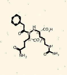 NC(=O)CC[C@@H](C(=O)O)N(N[C@@H](CCCNC(N)=O)C(=O)O)C(=O)Cc1ccccc1